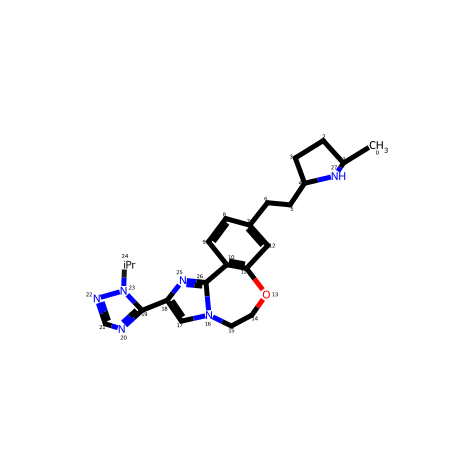 CC1CCC(CCc2ccc3c(c2)OCCn2cc(-c4ncnn4C(C)C)nc2-3)N1